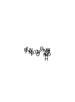 O=c1[nH]ncc(N[C@H]2COCC(Cn3ccc4cc(-c5ncc(C(F)(F)F)cn5)c(F)cc4c3=O)C2)c1C(F)(F)F